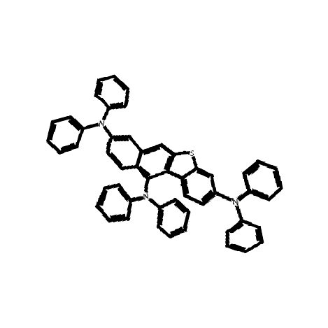 c1ccc(N(c2ccccc2)c2ccc3c(N(c4ccccc4)c4ccccc4)c4c(cc3c2)sc2cc(N(c3ccccc3)c3ccccc3)ccc24)cc1